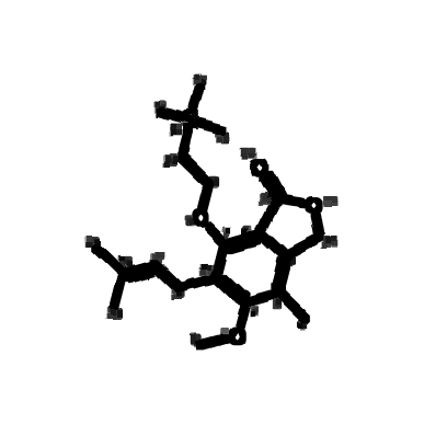 COc1c(C)c2c(c(OCC[Si](C)(C)C)c1CC=C(C)C)C(=O)OC2